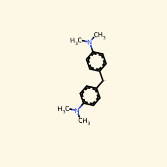 CN(C)c1ccc([CH]c2ccc(N(C)C)cc2)cc1